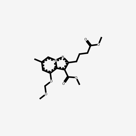 COCOc1cc(C)cn2nc(CCCC(=O)OC)c(C(=O)OC)c12